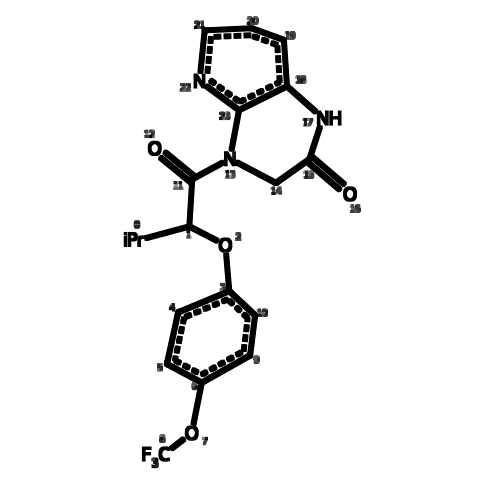 CC(C)C(Oc1ccc(OC(F)(F)F)cc1)C(=O)N1CC(=O)Nc2cccnc21